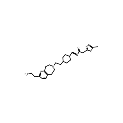 Cc1nnc(CC(=O)/N=C/C2CCC(CCN3CCc4ccc(CCC(F)(F)F)nc4CC3)CC2)o1